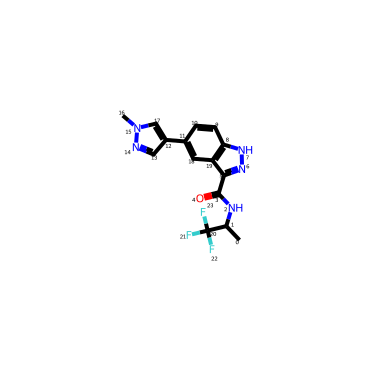 CC(NC(=O)c1n[nH]c2ccc(-c3cnn(C)c3)cc12)C(F)(F)F